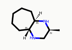 C[C@H]1CN[C@@H]2CCCCC[C@H]2N1